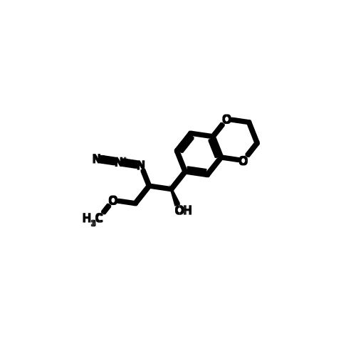 COCC(N=[N+]=[N-])[C@H](O)c1ccc2c(c1)OCCO2